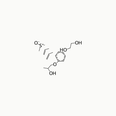 C=CC.C=CC.CC(O)COc1ccccc1.C[S+](C)[O-].OCCO